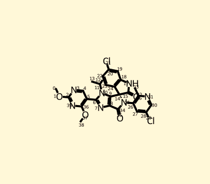 COc1ncc(-c2nc3c(n2C(C)C)[C@@]2(C(=O)Nc4cc(Cl)ccc42)N(c2cc(Cl)cnc2C)C3=O)c(OC)n1